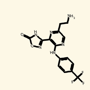 NCCc1cnc(Nc2ccc(C(F)(F)F)cc2)c(-c2noc(=O)[nH]2)n1